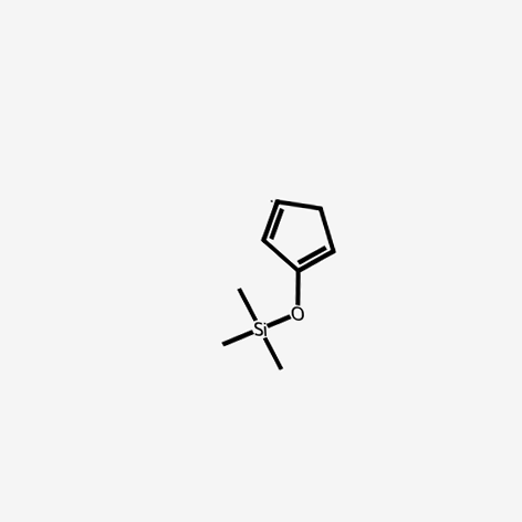 C[Si](C)(C)OC1=CC[C]=C1